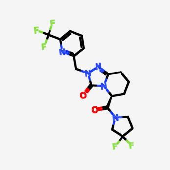 O=C([C@@H]1CCCc2nn(Cc3cccc(C(F)(F)F)n3)c(=O)n21)N1CCC(F)(F)C1